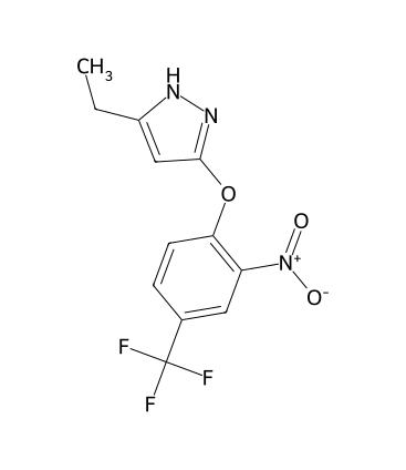 CCc1cc(Oc2ccc(C(F)(F)F)cc2[N+](=O)[O-])n[nH]1